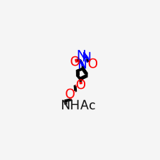 CC(=O)NCCOCCOc1ccc(N2C(=O)N=NC2=O)cc1